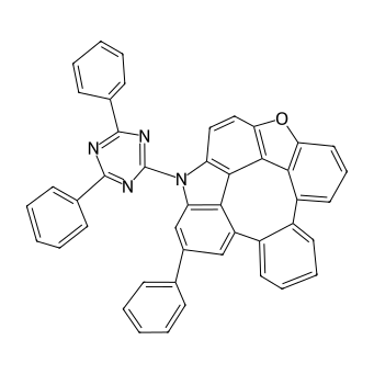 c1ccc(-c2cc3c4ccccc4c4cccc5oc6ccc7c(c6c54)c3c(c2)n7-c2nc(-c3ccccc3)nc(-c3ccccc3)n2)cc1